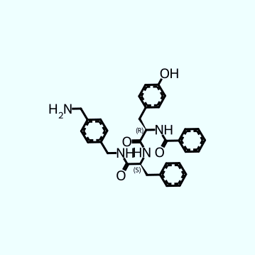 NCc1ccc(CNC(=O)[C@H](Cc2ccccc2)NC(=O)[C@@H](Cc2ccc(O)cc2)NC(=O)c2ccccc2)cc1